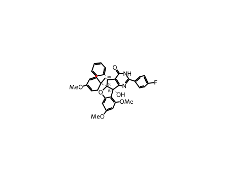 COC1=CCC(C)([C@@]23Oc4cc(OC)cc(OC)c4[C@]2(O)c2nc(-c4ccc(F)cc4)[nH]c(=O)c2[C@H]3c2ccccc2)C=C1